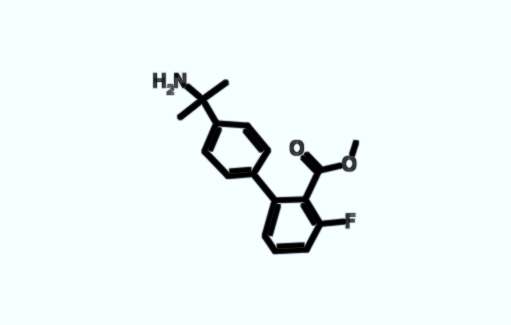 COC(=O)c1c(F)cccc1-c1ccc(C(C)(C)N)cc1